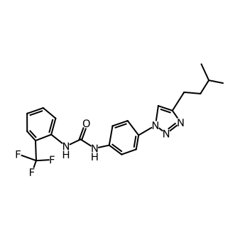 CC(C)CCc1cn(-c2ccc(NC(=O)Nc3ccccc3C(F)(F)F)cc2)nn1